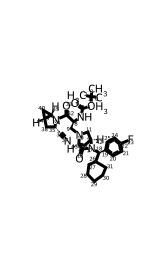 CC(C)(C)OC(=O)N[C@@H](CN1C[C@@H]2C[C@H]1C(=O)N2[C@@H](c1ccc(F)cc1)C1CCCCC1)C(=O)N1[C@H](C#N)C[C@@H]2C[C@@H]21